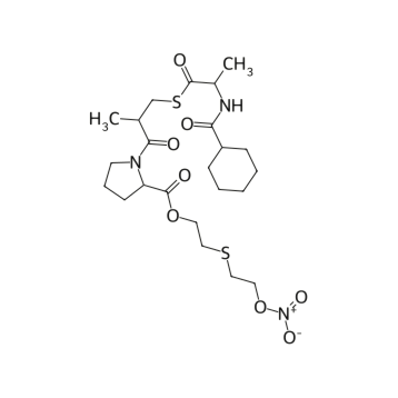 CC(CSC(=O)C(C)NC(=O)C1CCCCC1)C(=O)N1CCCC1C(=O)OCCSCCO[N+](=O)[O-]